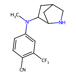 CN(c1ccc(C#N)c(C(F)(F)F)c1)C1CC2CNC1C2